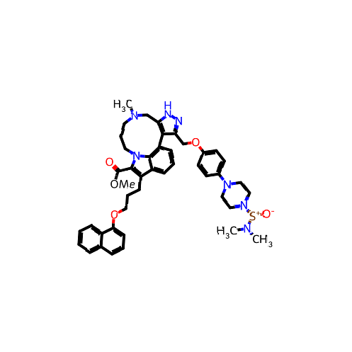 COC(=O)c1c(CCCOc2cccc3ccccc23)c2cccc3c2n1CCCN(C)Cc1[nH]nc(COc2ccc(N4CCN([S+]([O-])N(C)C)CC4)cc2)c1-3